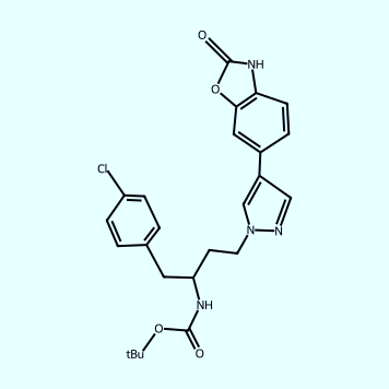 CC(C)(C)OC(=O)NC(CCn1cc(-c2ccc3[nH]c(=O)oc3c2)cn1)Cc1ccc(Cl)cc1